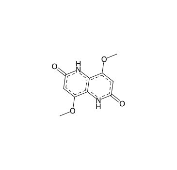 COc1cc(=O)[nH]c2c(OC)cc(=O)[nH]c12